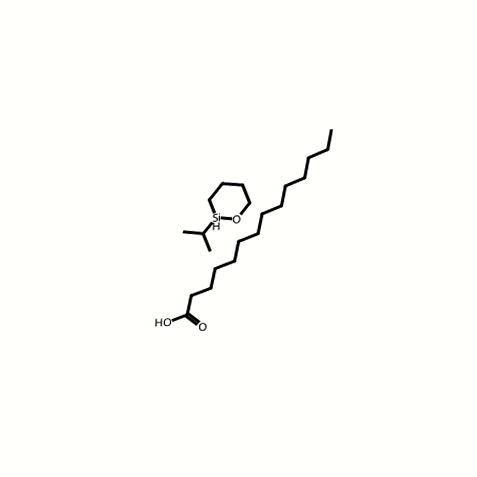 CC(C)[SiH]1CCCCO1.CCCCCCCCCCCCCC(=O)O